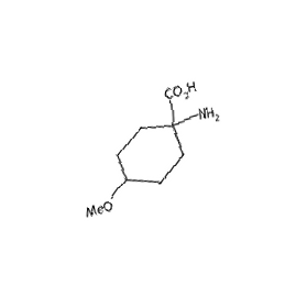 COC1CCC(N)(C(=O)O)CC1